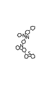 c1ccc(-c2ccc3c(c2)nc(-c2ccc(-n4c5ccccc5c5cc(-c6cccc7c6sc6ccccc67)ccc54)cc2)n3-c2ccccc2)cc1